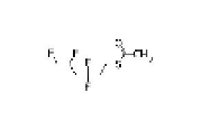 CC(=O)SCCC(F)(F)CC(F)CF